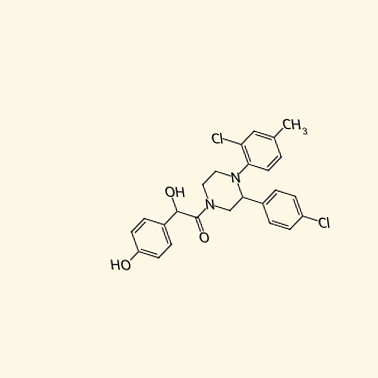 Cc1ccc(N2CCN(C(=O)C(O)c3ccc(O)cc3)CC2c2ccc(Cl)cc2)c(Cl)c1